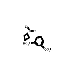 C1CCC1.CCOCC.O=C(O)c1cccc(C(=O)O)c1